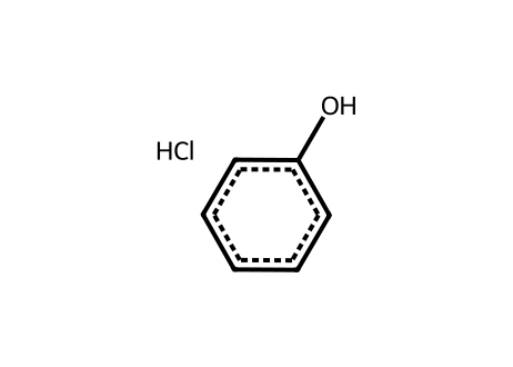 Cl.Oc1ccccc1